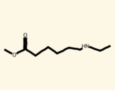 CCNCCCCCC(=O)OC